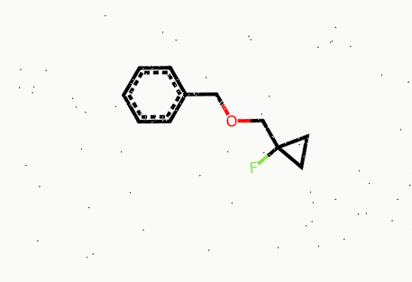 FC1(COCc2ccccc2)CC1